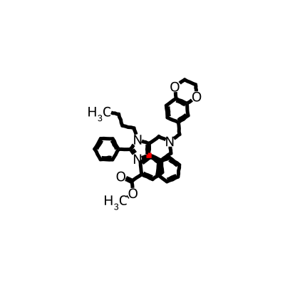 CCCCn1c(-c2ccccc2)nc(-c2ccccc2)c1CN(Cc1ccc(C(=O)OC)cc1)Cc1ccc2c(c1)OCCO2